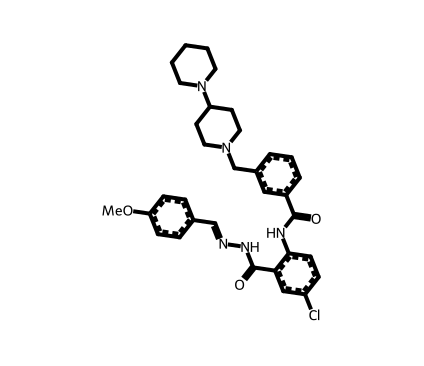 COc1ccc(C=NNC(=O)c2cc(Cl)ccc2NC(=O)c2cccc(CN3CCC(N4CCCCC4)CC3)c2)cc1